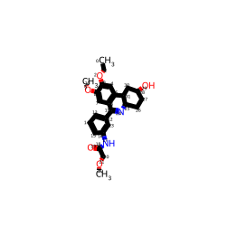 CCOc1cc2c(cc1OC)C(c1cccc(NC(=O)COC)c1)=NC1CCC(O)CC21